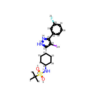 CC(C)(C)S(=O)(=O)N[C@H]1CC[C@H](c2[nH]nc(-c3cccc(F)c3)c2I)CC1